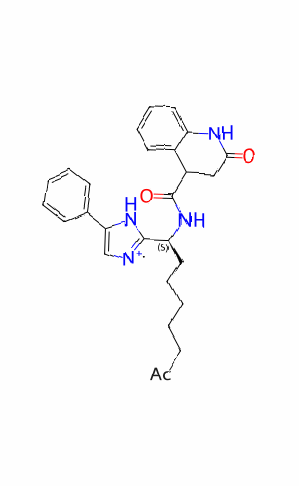 CC(=O)CCCCC[C@H](NC(=O)C1CC(=O)Nc2ccccc21)C1=[N+]C=C(c2ccccc2)N1